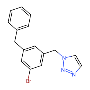 Brc1cc(Cc2ccccc2)cc(Cn2ccnn2)c1